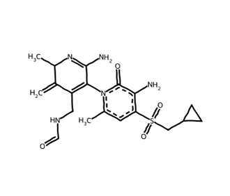 C=C1C(CNC=O)=C(n2c(C)cc(S(=O)(=O)CC3CC3)c(N)c2=O)C(N)=NC1C